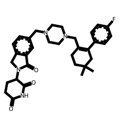 CC1(C)CCC(CN2CCN(Cc3ccc4c(c3)C(=O)N(C3CCC(=O)NC3=O)C4)CC2)=C(c2ccc(F)cc2)C1